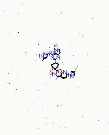 CO[C@]1(C(=O)N[C@@H](C)c2ccc(-n3cc(F)cn3)nc2)CC[C@H](c2nc3c(c(Nc4cc(C)[nH]n4)n2)NCC3)CC1